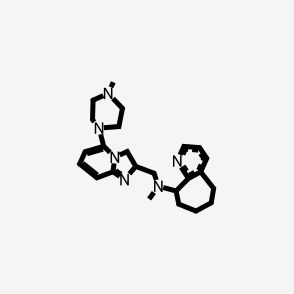 CN1CCN(C2=CC=CC3=NC(CN(C)C4CCCCc5cccnc54)CN23)CC1